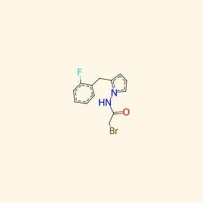 O=C(CBr)Nn1cccc1Cc1ccccc1F